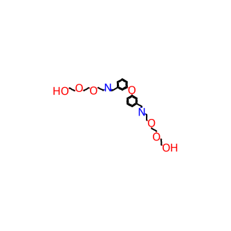 OCCOCCOCC/N=C/c1cccc(Oc2cccc(/C=N/CCOCCOCCO)c2)c1